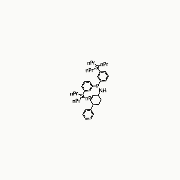 CCC[Si](CCC)(CCC)c1cccc(P(NC2CCC(c3ccccc3)CC2)c2cccc([Si](CCC)(CCC)CCC)c2)c1